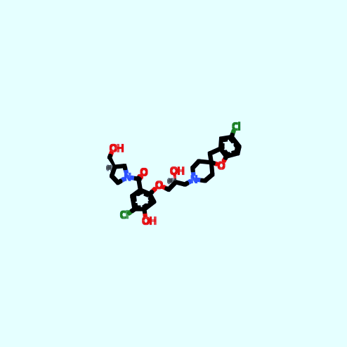 O=C(c1cc(Cl)c(O)cc1OC[C@H](O)CN1CCC2(CC1)Cc1cc(Cl)ccc1O2)N1CC[C@@H](CO)C1